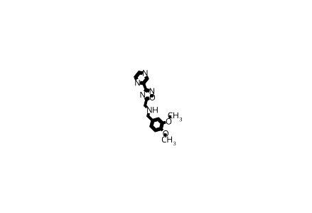 COc1ccc(CNCc2nc(-c3cnccn3)no2)cc1OC